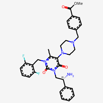 COC(=O)c1ccc(CN2CCN(c3c(C)n(Cc4c(F)cccc4F)c(=O)n(C[C@H](N)c4ccccc4)c3=O)CC2)cc1